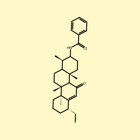 CC[C@@H]1CCC[C@]2(C)C1=CC(=O)C1[C@@]3(C)CCC(NC(=O)c4ccccc4)[C@H](C)C3CC[C@]12C